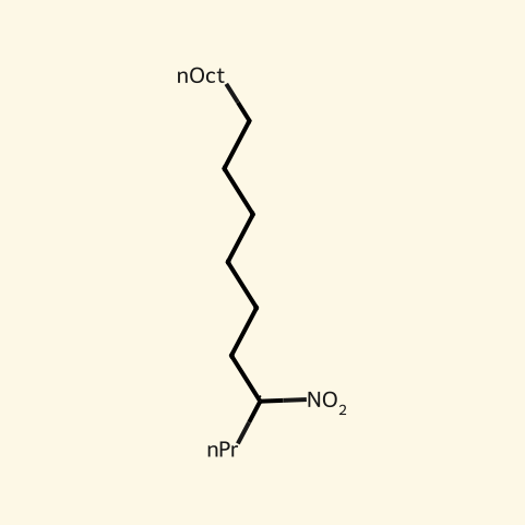 CCCCCCCCCCCCCC[C](CCC)[N+](=O)[O-]